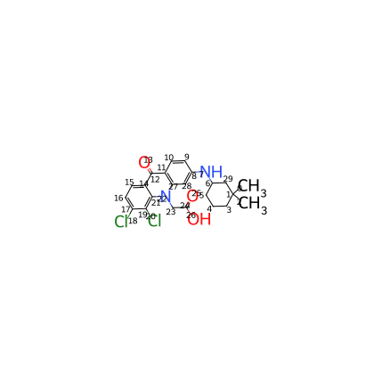 CC1(C)CCCC(Nc2ccc3c(=O)c4ccc(Cl)c(Cl)c4n(CC(=O)O)c3c2)C1